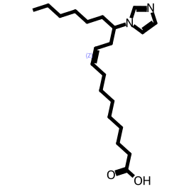 CCCCCCC(C/C=C\CCCCCCCC(=O)O)n1ccnc1